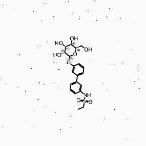 CCS(=O)(=O)Nc1cccc(-c2cccc(O[C@@H]3O[C@H](CO)[C@H](O)[C@H](O)[C@H]3O)c2)c1